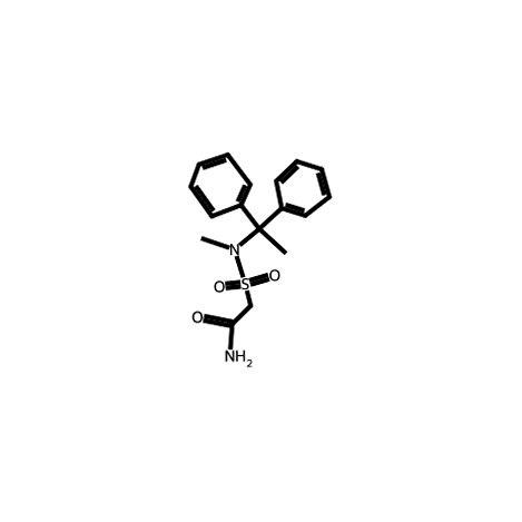 CN(C(C)(c1ccccc1)c1ccccc1)S(=O)(=O)CC(N)=O